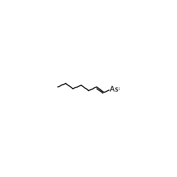 CCCCCC=C[As]